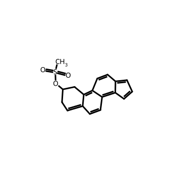 CS(=O)(=O)OC1CC=c2ccc3c4c(ccc3c2C1)=CC=C4